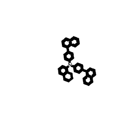 C1=Cc2cccc(N(c3ccc(-c4cccc5ccccc45)cc3)c3ccc(-c4cccc5ccccc45)cc3)c2CC1